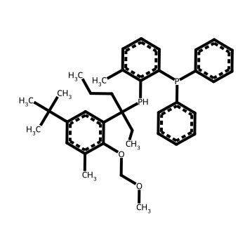 CCCC(CC)(Pc1c(C)cccc1P(c1ccccc1)c1ccccc1)c1cc(C(C)(C)C)cc(C)c1OCOC